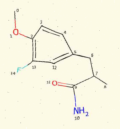 COc1ccc(CC(C)C(N)=O)cc1F